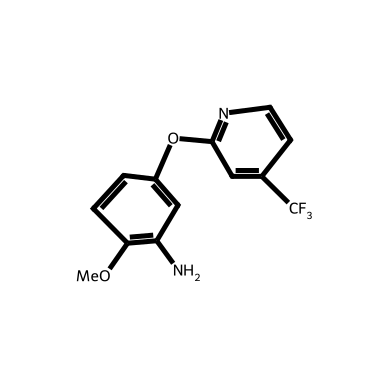 COc1ccc(Oc2cc(C(F)(F)F)ccn2)cc1N